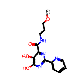 CCOCCCNC(=O)c1nc(-c2ccccn2)nc(O)c1O